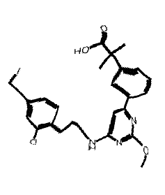 COc1nc(NCCc2ccc(CI)cc2Cl)cc(-c2cccc(C(C)(C)C(=O)O)c2)n1